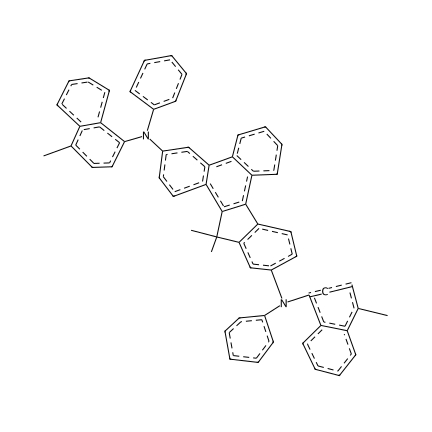 Cc1ccc(N(c2ccccc2)c2ccc3c(c2)C(C)(C)c2c-3c3ccccc3c3cc(N(c4ccccc4)c4ccc(C)c5ccccc45)ccc23)c2ccccc12